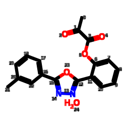 CC(=O)C(=O)Oc1ccccc1-c1nnc(-c2cccc(C)c2)o1.O